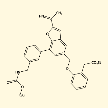 CCOC(=O)Cc1ccccc1OCc1cc(-c2cccc(CNC(=O)OC(C)(C)C)c2)c2oc(C(C)=N)cc2c1